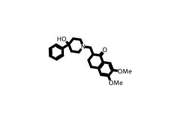 COc1cc2c(cc1OC)C(=O)C(CN1CCC(O)(c3ccccc3)CC1)CC2